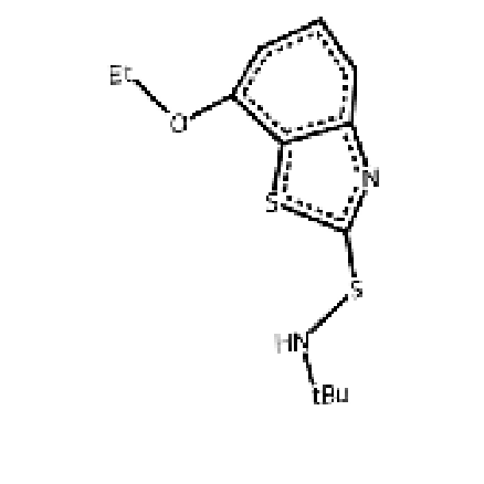 CCOc1cccc2nc(SNC(C)(C)C)sc12